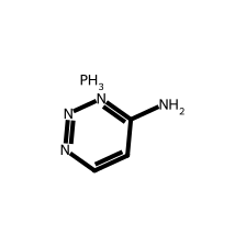 Nc1ccnnn1.P